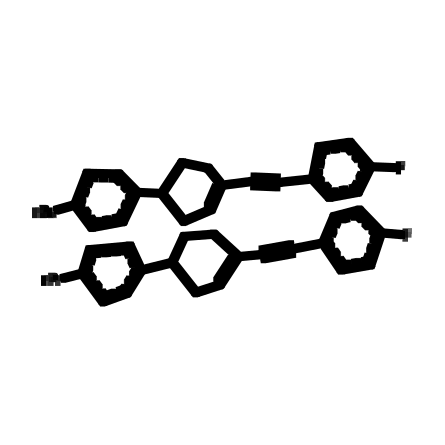 CCCCc1ccc(C2CC=C(C#Cc3ccc(F)cc3)CC2)cc1.CCCc1ccc(C2CC=C(C#Cc3ccc(F)cc3)CC2)cc1